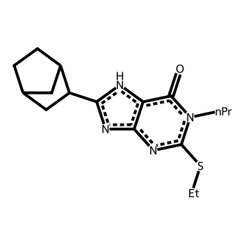 CCCn1c(SCC)nc2nc(C3CC4CCC3C4)[nH]c2c1=O